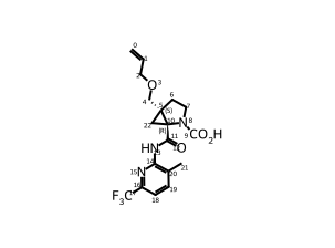 C=CCOC[C@]12CCN(C(=O)O)[C@]1(C(=O)Nc1nc(C(F)(F)F)ccc1C)C2